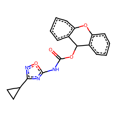 O=C(Nc1nc(C2CC2)no1)OC1c2ccccc2Oc2ccccc21